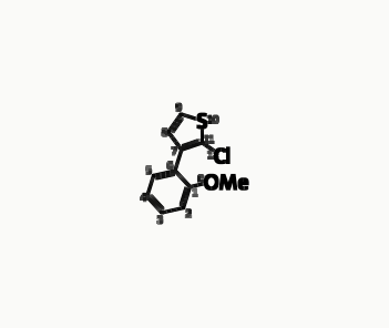 COc1ccccc1-c1ccsc1Cl